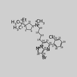 CCC(C)(C)C1CCC(N(C)CCCCc2cc(-c3ccccc3Cl)nc3c(Br)cnn23)C1